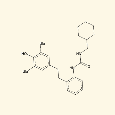 CC(C)(C)c1cc(CCc2ccccc2NC(=O)NCC2CCCCC2)cc(C(C)(C)C)c1O